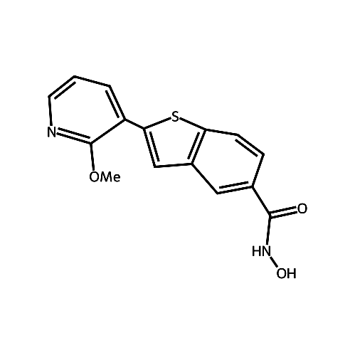 COc1ncccc1-c1cc2cc(C(=O)NO)ccc2s1